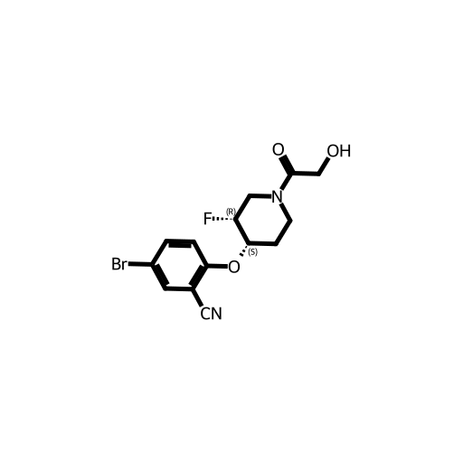 N#Cc1cc(Br)ccc1O[C@H]1CCN(C(=O)CO)C[C@H]1F